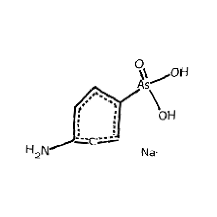 Nc1ccc([As](=O)(O)O)cc1.[Na]